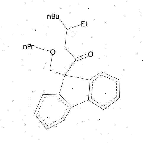 CCCCC(CC)CC(=O)C1(COCCC)c2ccccc2-c2ccccc21